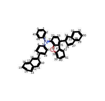 c1ccc(N(c2ccc(-c3ccc4ccccc4c3)cc2)c2ccc(-c3ccc4ccccc4c3)c3c2oc2ccccc23)cc1